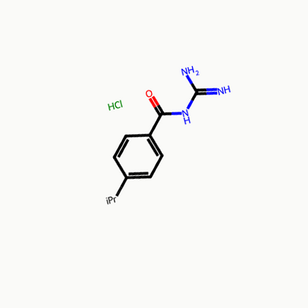 CC(C)c1ccc(C(=O)NC(=N)N)cc1.Cl